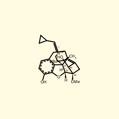 CO[C@@]12CC(=C3C4Cc5ccc(O)c6c5[C@@]3(CC/[N+]4=C\C3CC3)[C@H]1O6)[C@@H]2C(C)(O)C(C)(C)C